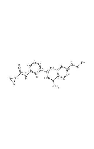 CC(NC(=O)c1ccnc(NC(=O)C2CC2)n1)c1ccc(OCF)cc1